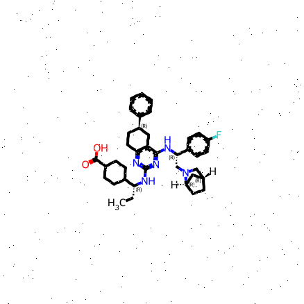 CC[C@@H](Nc1nc2c(c(N[C@@H](CN3C[C@@H]4CC[C@@H]3C4)c3ccc(F)cc3)n1)C[C@H](c1ccccc1)CC2)C1CCC(C(=O)O)CC1